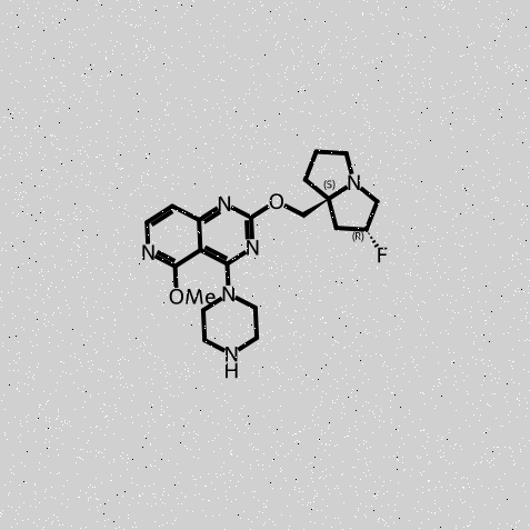 COc1nccc2nc(OC[C@@]34CCCN3C[C@H](F)C4)nc(N3CCNCC3)c12